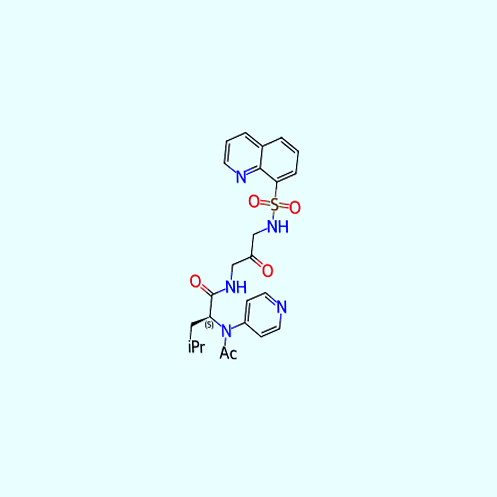 CC(=O)N(c1ccncc1)[C@@H](CC(C)C)C(=O)NCC(=O)CNS(=O)(=O)c1cccc2cccnc12